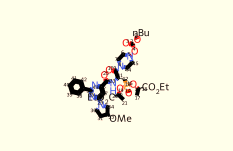 CCCCOC(=O)ON1CCN(C(=O)[C@H](CP(=O)(O[C@@H](C)C(=O)OCC)O[C@@H](C)C(=O)OCC)NC(=O)c2cc(N3CC[C@H](OC)C3)nc(-c3ccccc3)n2)CC1